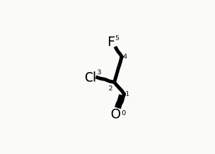 O=CC(Cl)CF